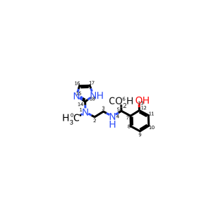 CN(CCNC(C(=O)O)c1ccccc1O)c1ncc[nH]1